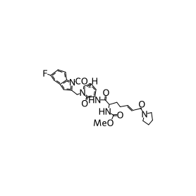 COC(=O)NC(CC/C=C/C(=O)N1CCCC1)C(=O)Nc1cccn(Cc2cc3cc(F)ccc3n2C(=O)O)c1=O